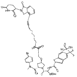 CN(C(=O)[C@@H]1C[C@@H](OCC(=O)NCCCCCCC#Cc2cccc3c2CN(C2CCC(=O)NC2=O)C3=O)CN1C(=O)C(NC(=O)c1cc2cc(C(F)(F)P(=O)(O)O)ccc2s1)C(C)(C)C)c1ccc(Br)cc1